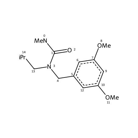 CNC(=O)N(Cc1cc(OC)cc(OC)c1)CC(C)C